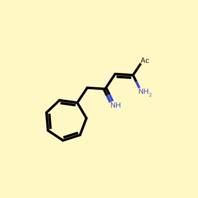 CC(=O)/C(N)=C/C(=N)CC1=CC=CC=CC1